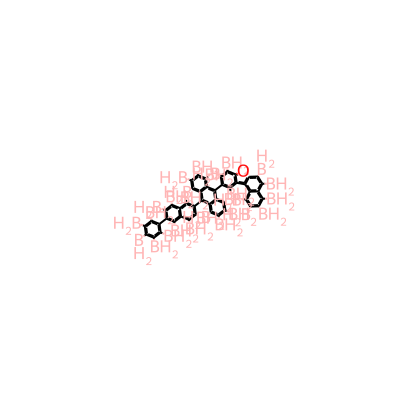 Bc1c(B)c(B)c(-c2c(B)c(B)c3c(B)c(-c4c5c(B)c(B)c(B)c(B)c5c(-c5c(B)c(B)c6oc7c(B)c(B)c8c(B)c(B)c(B)c(B)c8c7c6c5B)c5c(B)c(B)c(B)c(B)c45)c(B)c(B)c3c2B)c(B)c1B